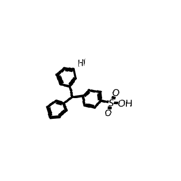 I.O=S(=O)(O)c1ccc(C(c2ccccc2)c2ccccc2)cc1